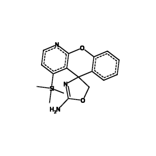 C[Si](C)(C)c1ccnc2c1C1(COC(N)=N1)c1ccccc1O2